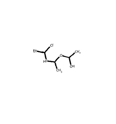 CCC(Cl)NC(C)OC(C)O